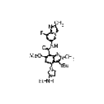 CCN[C@H]1CCN(c2cc(OC)c(C(=O)Nc3cc(F)c4nc(C)cn4c3)c3nn(C)c(C(C)(C)C)c23)C1